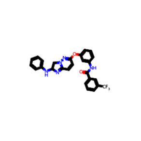 O=C(Nc1cccc(OC2=NN3CC(Nc4ccccc4)N=C3C=C2)c1)c1cccc(C(F)(F)F)c1